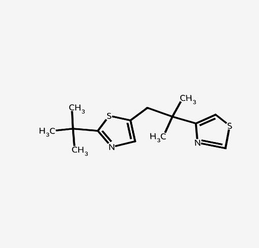 CC(C)(C)c1ncc(CC(C)(C)c2cscn2)s1